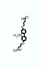 CCNCCCOc1ccc2c3ccc(OCCCNCC)cc3n(C)c2c1